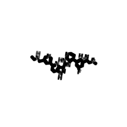 CCNCc1cncc(-c2ccc3[nH]nc(-c4nc5c(-c6cc(F)cc(C(N)CN(C)C)c6)ccnc5[nH]4)c3n2)c1